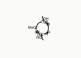 C/C=C/[C@H](O)C(C)(C)[C@@H]1C\C=C/C=C\C=C\[C@H](OC)Cc2nc(co2)C(=O)O[C@H](C(C)(C)[C@@H](O)/C=C/C)C/C=C\[C@H]2C[C@H]2/C=C/C=C\c2nc(co2)C(=O)O1